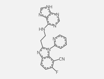 N#Cc1c(F)ccc2nc(CCNc3ncnc4[nH]cnc34)n(-c3ccccn3)c12